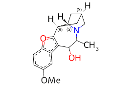 COc1ccc2oc3c(c2c1)C(O)C(C)N1C[C@H]2C[C@@H]3[C@@H]1C2